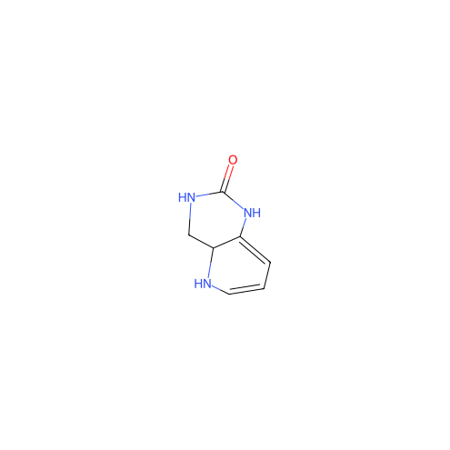 O=C1NCC2NC=CC=C2N1